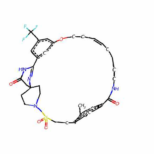 Cc1cc2ccc1CCS(=O)(=O)N1CCC3(CC1)N=C(NC3=O)c1cc(cc(C(F)(F)F)c1)OCCC=CCCCCNC2=O